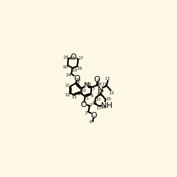 COCCOc1cc(C(=O)N(C(C)C)[C@@H]2CCCNC2)nc2c(OCC3CCOCC3)cccc12